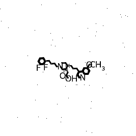 COc1ccc2nccc(CCC[C@@H]3CCN(CCCCc4cccc(F)c4F)C[C@@H]3CC(=O)O)c2c1